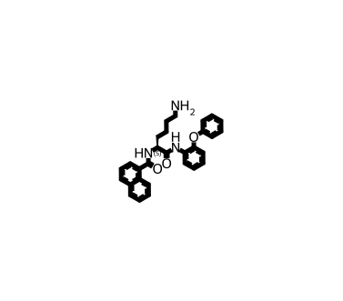 NCCCC[C@H](NC(=O)c1cccc2ccccc12)C(=O)Nc1ccccc1Oc1ccccc1